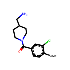 COc1ccc(C(=O)N2CCC(CN)CC2)cc1Cl